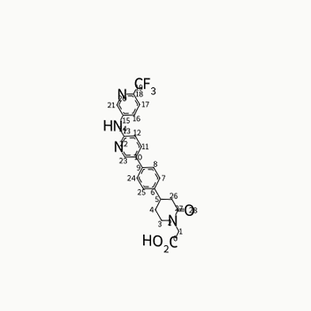 O=C(O)CN1CCC(c2ccc(-c3ccc(Nc4ccc(C(F)(F)F)nc4)nc3)cc2)CC1=O